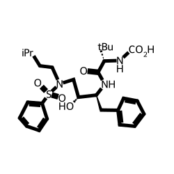 CC(C)CCN(C[C@@H](O)[C@H](Cc1ccccc1)NC(=O)[C@@H](NC(=O)O)C(C)(C)C)S(=O)(=O)c1ccccc1